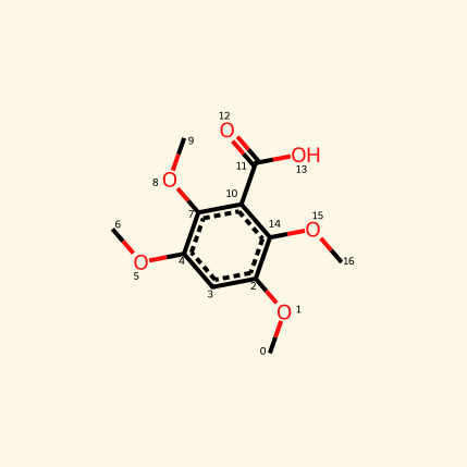 COc1cc(OC)c(OC)c(C(=O)O)c1OC